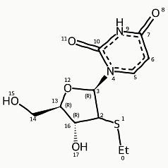 CCSC1[C@H](n2ccc(=O)[nH]c2=O)O[C@H](CO)[C@H]1O